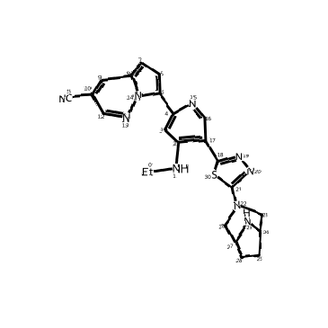 CCNc1cc(-c2ccc3cc(C#N)cnn23)ncc1-c1nnc(N2CC3CCC(C2)N3)s1